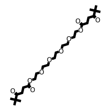 CC(C)(C)C(=O)CCC(=O)OCCOCCOCCOCCOCCOC(=O)CCC(=O)C(C)(C)C